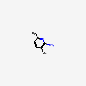 CNc1ccc(C)nc1N